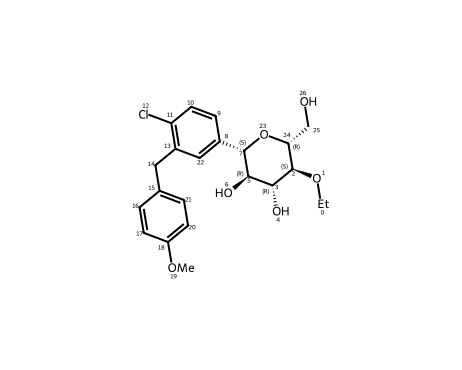 CCO[C@H]1[C@H](O)[C@@H](O)[C@H](c2ccc(Cl)c(Cc3ccc(OC)cc3)c2)O[C@@H]1CO